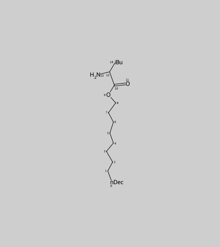 CCCCCCCCCCCCCCCCCCOC(=O)C(N)C(C)CC